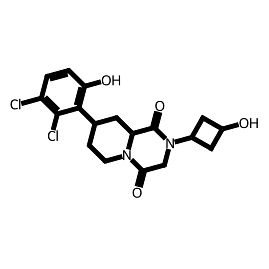 O=C1C2CC(c3c(O)ccc(Cl)c3Cl)CCN2C(=O)CN1C1CC(O)C1